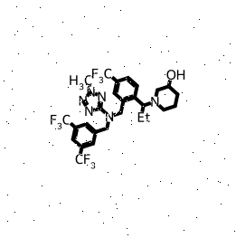 CCC(c1ccc(C(F)(F)F)cc1CN(Cc1cc(C(F)(F)F)cc(C(F)(F)F)c1)c1nnn(C)n1)N1CCCC(O)C1